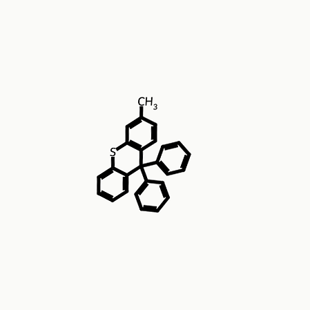 Cc1ccc2c(c1)Sc1ccccc1C2(c1ccccc1)c1ccccc1